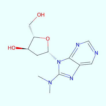 CN(C)c1nc2cncnc2n1[C@@H]1C[C@@H](O)[C@H](CO)O1